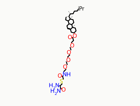 CC(C)CCC[C@@H](C)[C@H]1CCC2C3CC=C4CC(OC(=O)CCOCCOCCOCCOCCNC(=O)CSC[C@H](N)C(N)=O)CC[C@]4(C)C3CC[C@@]21C